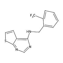 FC(F)(F)c1ccccc1CNc1ncnc2sccc12